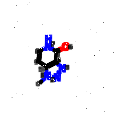 Cn1nnc2c(=O)[nH]ccc21